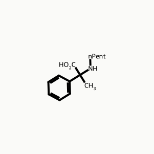 CCCCCNC(C)(C(=O)O)c1ccccc1